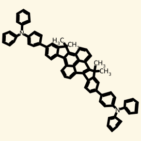 CC1(C)c2cc(-c3ccc(N(c4ccccc4)c4ccccc4)cc3)ccc2-c2c1c1cccc3c4c(c5cccc2c5c13)-c1ccc(-c2ccc(N(c3ccccc3)c3ccccc3)cc2)cc1C4(C)C